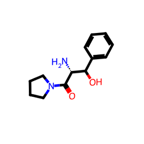 N[C@@H](C(=O)N1CCCC1)C(O)c1ccccc1